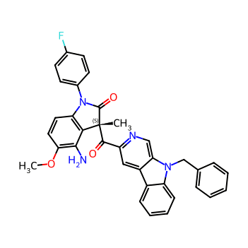 COc1ccc2c(c1N)[C@@](C)(C(=O)c1cc3c4ccccc4n(Cc4ccccc4)c3cn1)C(=O)N2c1ccc(F)cc1